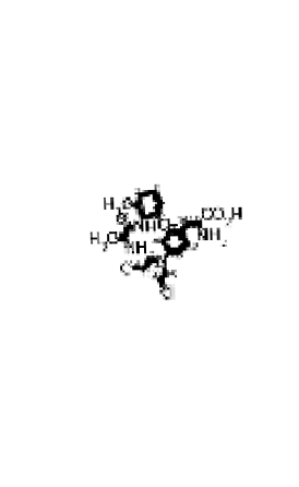 Cc1cccc(C)c1NC(=O)C(C)N.N[C@@H](Cc1ccc(N(CCCl)CCCl)cc1)C(=O)O